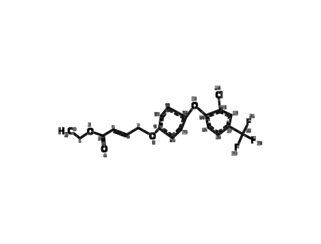 CCOC(=O)C=CCOc1ccc(Oc2ccc(C(F)(F)F)cc2Cl)cc1